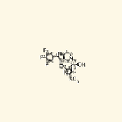 CC(O)(CN1CCc2nc(-c3cc(F)c(F)c(F)c3)sc2C1)Cn1cc([N+](=O)[O-])nc1Cl